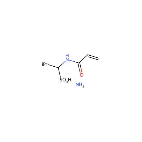 C=CC(=O)NC(C(C)C)S(=O)(=O)O.N